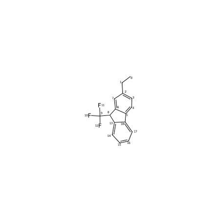 CCc1ccc2c(c1)C(C(F)(F)F)c1ccccc1-2